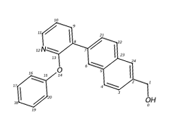 OCc1ccc2cc(-c3cccnc3Oc3ccccc3)ccc2c1